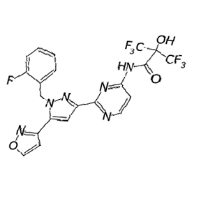 O=C(Nc1ccnc(-c2cc(-c3ccon3)n(Cc3ccccc3F)n2)n1)C(O)(C(F)(F)F)C(F)(F)F